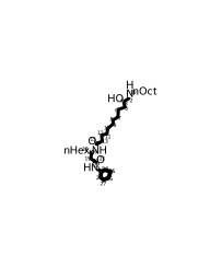 CCCCCCCCNCC(O)CCCCCCCCCC(=O)NC(CCCCCC)CC(=O)Nc1ccccc1